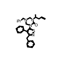 C=CCC(C)N1CN(CC(C)C)CN(c2snc(Cc3ccccc3)c2-c2ccccc2)C1=O